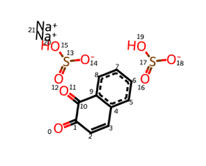 O=C1C=Cc2ccccc2C1=O.O=S([O-])O.O=S([O-])O.[Na+].[Na+]